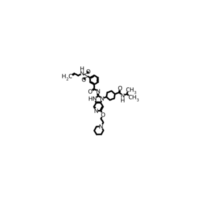 C=CCNS(=O)(=O)c1cccc(C(=O)/N=c2\[nH]c3cnc(OCCN4CCCCC4)cc3n2C2CCC(C(=O)NC(C)C)CC2)c1